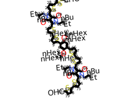 CCCCCC[Si](CCCCCC)(CCCCCC)Oc1cc(-c2ccc(-c3ccc(C4=C5C(=O)N(CC(CC)CCCC)C(c6ccc(-c7ccc(C=O)s7)s6)=C5C(=O)N4CC(CC)CCCC)s3)s2)c(O[Si](CCCCCC)(CCCCCC)CCCCCC)cc1-c1ccc(-c2ccc(C3=C4C(=O)N(CC(CC)CCCC)C(c5ccc(-c6ccc(C=O)s6)s5)=C4C(=O)N3CC(CC)CCCC)s2)s1